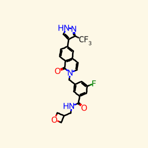 O=C(NCC1COC1)c1cc(F)cc(Cn2ccc3cc(-c4c[nH]nc4C(F)(F)F)ccc3c2=O)c1